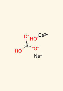 [Ca+2].[Na+].[O-]B([O-])O.[OH-]